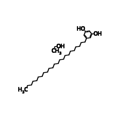 CCCCCCCCCCCCCCCCCCCCCCCc1cc(O)cc(O)c1.CCO